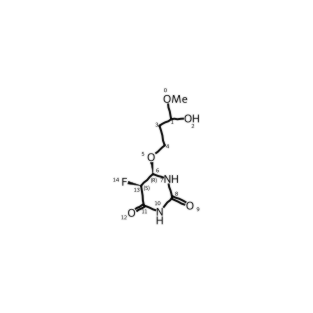 COC(O)CCO[C@H]1NC(=O)NC(=O)[C@H]1F